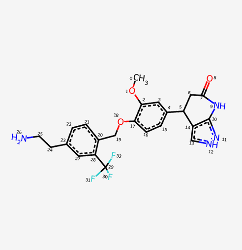 COc1cc(C2CC(=O)Nc3n[nH]cc32)ccc1OCc1ccc(CCN)cc1C(F)(F)F